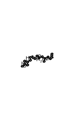 CC1(C)c2cc3ccccc3cc2-c2c(-c3cccc(/C(=C/Cc4cccc(-c5cccc6c5oc5cccc(-c7cccc8cc9c(cc78)C(C)(C)c7cccc(-c8cccc(C%10=CC(c%11ccccc%11-c%11cccc%12c%11oc%11ccccc%11%12)NC(c%11ccccc%11)N%10)c8)c7-9)c56)c4)NC(N)c4ccccc4)c3)cccc21